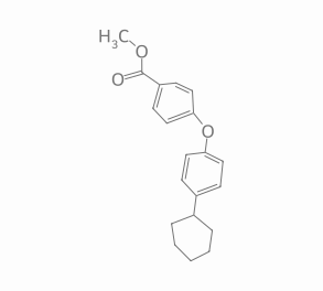 COC(=O)c1ccc(Oc2ccc(C3CCCCC3)cc2)cc1